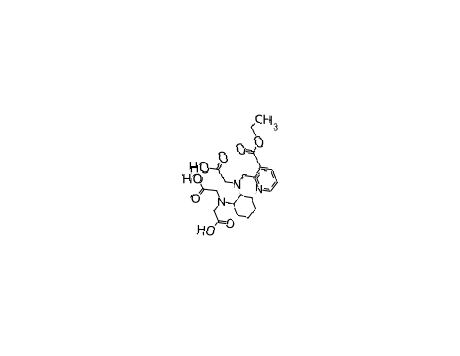 CCOC(=O)c1cccnc1CN(CC(=O)O)[C@@H]1CCCC[C@H]1N(CC(=O)O)CC(=O)O